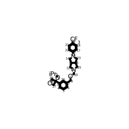 CC(C)OC1(c2cccc(COCN3CC4CN(c5ccc(C(F)(F)F)cc5)CC4C3)c2)COC1